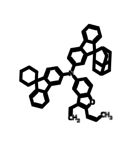 C=Cc1c(/C=C\C)oc2ccc(N(c3ccc4c(c3)-c3ccccc3C43CCCCC3)c3ccc4c(c3)C3(c5ccccc5-4)C4CC5CC(C4)CC3C5)cc12